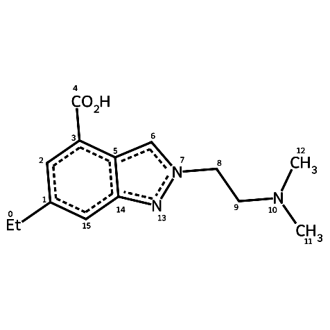 CCc1cc(C(=O)O)c2cn(CCN(C)C)nc2c1